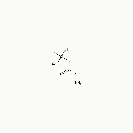 CC[Si](C)(OC(C)=O)OC(=O)CN